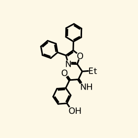 CCC(C(=N)C(=O)c1cccc(O)c1)c1nc(-c2ccccc2)c(-c2ccccc2)o1